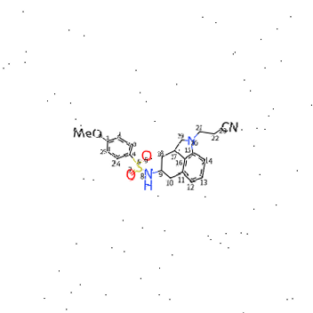 COc1ccc(S(=O)(=O)NC2Cc3cccc4c3C(C2)CN4CCC#N)cc1